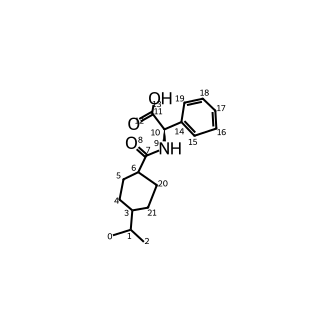 CC(C)C1CCC(C(=O)N[C@@H](C(=O)O)c2ccccc2)CC1